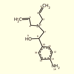 C=CCN(CC=C)CC(O)c1ccc(N)cc1